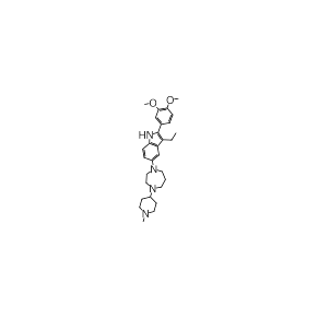 CCc1c(-c2ccc(OC)c(OC)c2)[nH]c2ccc(N3CCCN(C4CCN(C)CC4)CC3)cc12